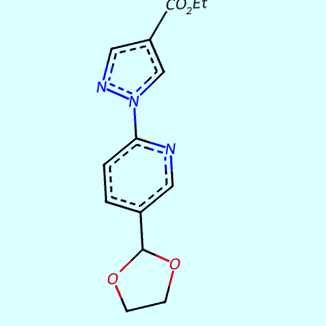 CCOC(=O)c1cnn(-c2ccc(C3OCCO3)cn2)c1